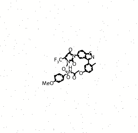 COc1ccc(S(=O)(=O)NC(=O)COc2ccc(C)c(-c3nsc4ccc(-n5c(=O)cc(C(F)(F)F)n(C)c5=O)cc34)c2)cc1